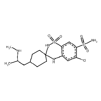 CNC(C)CC1CCC2(CC1)Nc1cc(Cl)c(S(N)(=O)=O)cc1S(=O)(=O)N2